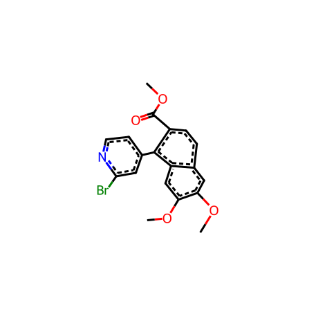 COC(=O)c1ccc2cc(OC)c(OC)cc2c1-c1ccnc(Br)c1